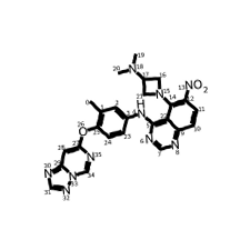 Cc1cc(Nc2ncnc3ccc([N+](=O)[O-])c(N4CC(N(C)C)C4)c23)ccc1Oc1cc2ncnn2cn1